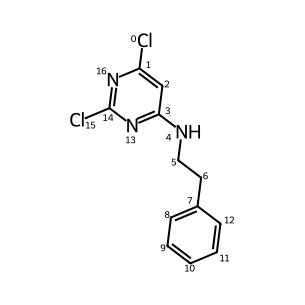 Clc1cc(NCCc2ccccc2)nc(Cl)n1